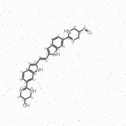 O=NC1CN=C(c2ccc3cc(/C=C/c4cc5ccc(C6=NCC(O)CN6)cc5[nH]4)[nH]c3c2)NC1